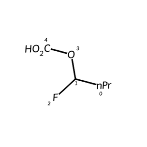 CCCC(F)OC(=O)O